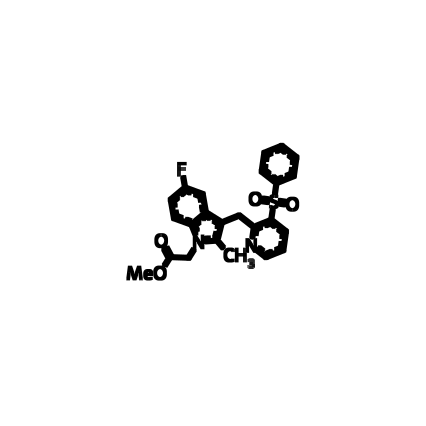 COC(=O)Cn1c(C)c(Cc2ncccc2S(=O)(=O)c2ccccc2)c2cc(F)ccc21